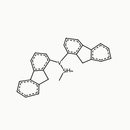 C[SiH](C)[V]([c]1cccc2c1Cc1ccccc1-2)[c]1cccc2c1Cc1ccccc1-2